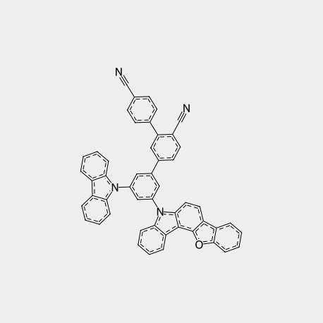 N#Cc1ccc(-c2cc(-c3cc(-n4c5ccccc5c5ccccc54)cc(-n4c5ccccc5c5c6oc7ccccc7c6ccc54)c3)ccc2C#N)cc1